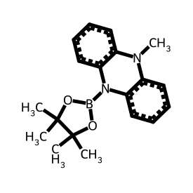 CN1c2ccccc2N(B2OC(C)(C)C(C)(C)O2)c2ccccc21